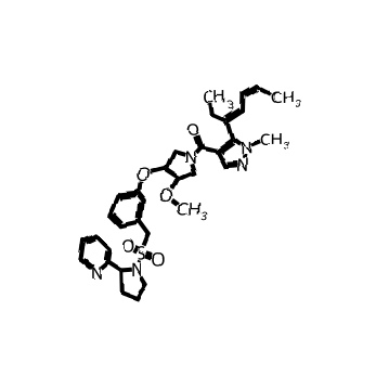 C/C=C\C=C(/CC)c1c(C(=O)N2CC(OC)C(Oc3cccc(CS(=O)(=O)N4CCCC4c4ccccn4)c3)C2)cnn1C